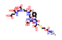 CNNC(=O)OCCSSC[C@@H](NC(=O)[C@@H](Cc1ccccc1)NC(=O)[C@H](CC(=O)O)NC(=O)CC[C@H](NC(=O)CC[C@H](NC(=O)N[C@@H](CCC(=O)O)C(=O)O)C(=O)O)C(=O)O)C(=O)O